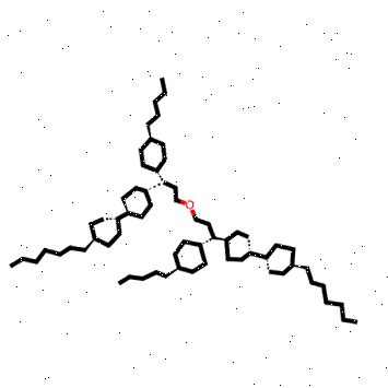 CCCCCCC[C@H]1CC[C@H]([C@H]2CC[C@H](C(CCOCCC([C@H]3CC[C@H](CCCCC)CC3)[C@H]3CC[C@H]([C@H]4CC[C@H](CCCCCCC)CC4)CC3)[C@H]3CC[C@H](CCCCC)CC3)CC2)CC1